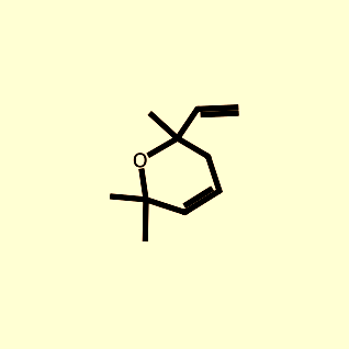 C=CC1(C)CC=CC(C)(C)O1